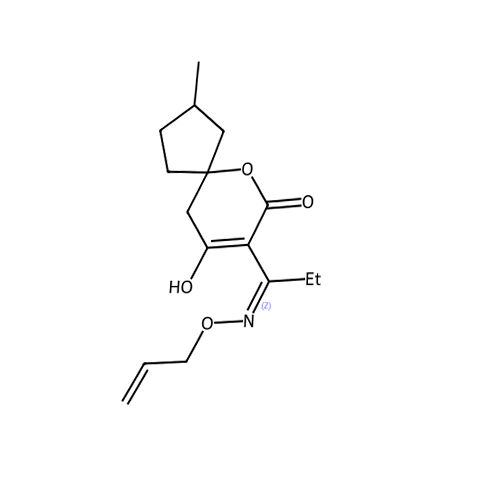 C=CCO/N=C(/CC)C1=C(O)CC2(CCC(C)C2)OC1=O